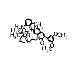 COc1cc(OC)cc(-c2cc3cnc(N(C(=O)OC(C)(C)C)c4c(C)cccc4N)cc3n(CCCN3CCCCC3)c2=O)c1